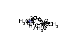 CCCCc1nc(SC)c(C(=O)OCC)n1Cc1ccc(-c2cccc(S(=O)(=O)/N=C/N(C)C)c2)cc1